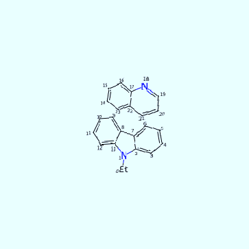 CCn1c2ccccc2c2ccccc21.c1ccc2ncccc2c1